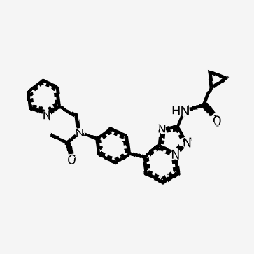 CC(=O)N(Cc1ccccn1)c1ccc(-c2cccn3nc(NC(=O)C4CC4)nc23)cc1